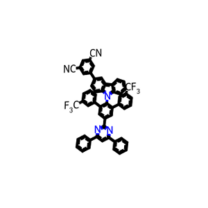 N#Cc1cc(C#N)cc(-c2ccc3c(c2)c2ccccc2n3-c2c(-c3cccc(C(F)(F)F)c3)cc(-c3nc(-c4ccccc4)cc(-c4ccccc4)n3)cc2-c2cccc(C(F)(F)F)c2)c1